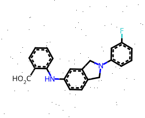 O=C(O)c1ccccc1Nc1ccc2c(c1)CN(c1cccc(F)c1)C2